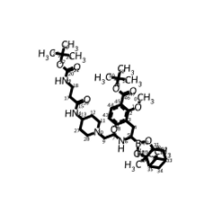 COc1c(CC(NC(=O)CN2CCC(NC(=O)CCNC(=O)OC(C)(C)C)CC2)B2OC3CC4CC(C4(C)C)C3(C)O2)cccc1C(=O)OC(C)(C)C